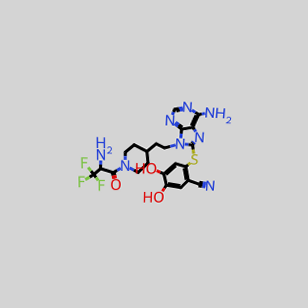 N#Cc1cc(O)c(O)cc1Sc1nc2c(N)ncnc2n1CCC1CCN(C(=O)C(N)C(F)(F)F)CC1